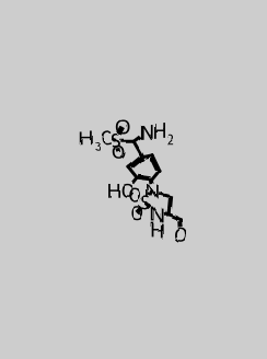 CS(=O)(=O)C(N)c1ccc(N2CC(C=O)NS2(=O)=O)c(O)c1